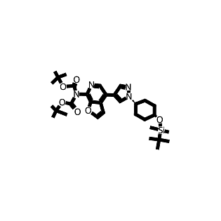 CC(C)(C)OC(=O)N(C(=O)OC(C)(C)C)c1ncc(-c2cnn([C@H]3CC[C@H](O[Si](C)(C)C(C)(C)C)CC3)c2)c2ccoc12